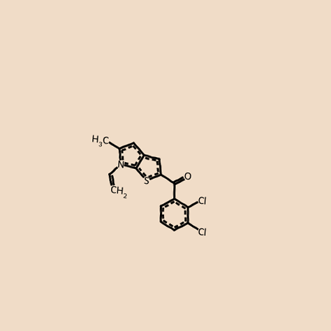 C=Cn1c(C)cc2cc(C(=O)c3cccc(Cl)c3Cl)sc21